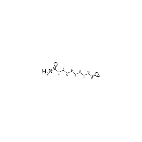 NC(=O)CCCCCCCCC=O